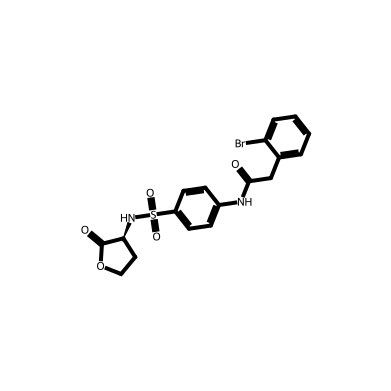 O=C(Cc1ccccc1Br)Nc1ccc(S(=O)(=O)N[C@H]2CCOC2=O)cc1